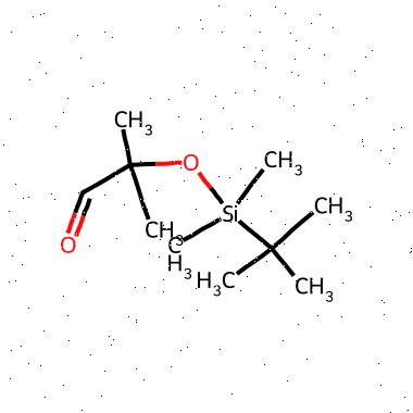 CC(C)(C=O)O[Si](C)(C)C(C)(C)C